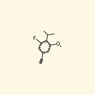 C#Cc1cc(F)c(C(C)C)c(OC)c1